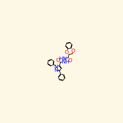 O=C(NNC(=O)C1COc2ccccc2O1)c1cc(-c2ccccc2)nn1-c1ccccc1